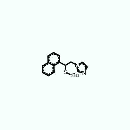 CC(C)(C)SC(Cn1ccnc1)c1cccc2ccccc12